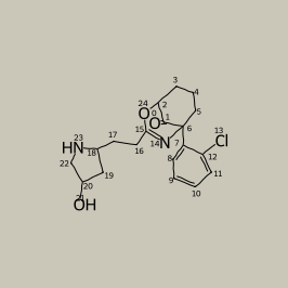 O=C1C2CCCC1(c1ccccc1Cl)N=C(CCC1CC(O)CN1)O2